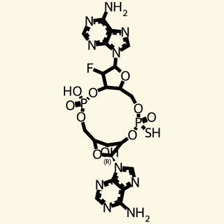 Nc1ncnc2c1ncn2C1OC2COP(=O)(S)OC3C(O)C(COP(=O)(O)OC2C1F)O[C@H]3n1cnc2c(N)ncnc21